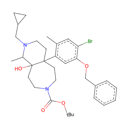 Cc1cc(Br)c(OCc2ccccc2)cc1C12CCN(C(=O)OC(C)(C)C)CCC1(O)C(C)N(CC1CC1)CC2